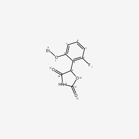 CCOc1cccc(F)c1C1OC(=O)NC1=O